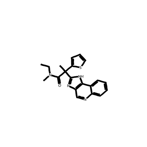 CCN(C)C(=O)C(C)(c1nc2cnc3ccccc3c2[nH]1)c1cccs1